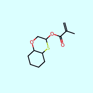 C=C(C)C(=O)OC1COC2CCCCC2S1